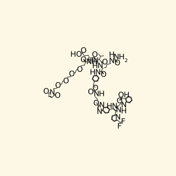 CC(C)[C@H](NC(=O)[C@H](CCC(=O)O)NC(=O)CCOCCOCCOCCOCCN1C(=O)C=CC1=O)C(=O)N[C@@H](CCCNC(N)=O)C(=O)Nc1ccc(COC(=O)NCCOc2cnc3ccc(-c4[nH]c(CNc5ccccc5C(=O)O)nc4-c4cccc(C(F)F)n4)cc3n2)cc1